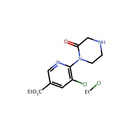 CCCl.CCOC(=O)c1cnc(N2CCNCC2=O)c(Cl)c1